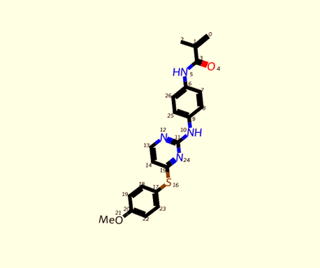 C=C(C)C(=O)Nc1ccc(Nc2nccc(Sc3ccc(OC)cc3)n2)cc1